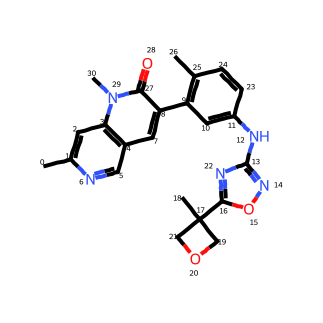 Cc1cc2c(cn1)cc(-c1cc(Nc3noc(C4(C)COC4)n3)ccc1C)c(=O)n2C